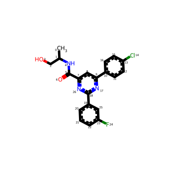 CC(CO)NC(=O)c1cc(-c2ccc(Cl)cc2)nc(-c2cccc(F)c2)n1